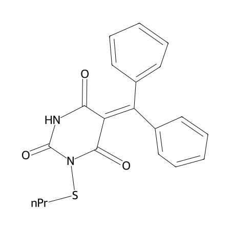 CCCSN1C(=O)NC(=O)C(=C(c2ccccc2)c2ccccc2)C1=O